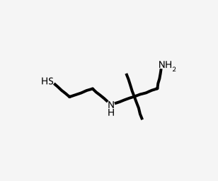 CC(C)(CN)NCCS